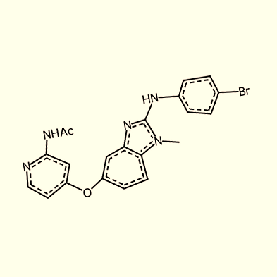 CC(=O)Nc1cc(Oc2ccc3c(c2)nc(Nc2ccc(Br)cc2)n3C)ccn1